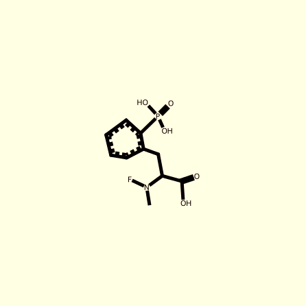 CN(F)C(Cc1ccccc1P(=O)(O)O)C(=O)O